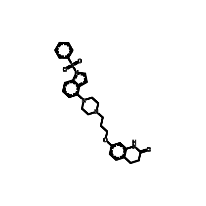 O=C1CCc2ccc(OCCCN3CCN(c4cccc5c4ccn5S(=O)(=O)c4ccccc4)CC3)cc2N1